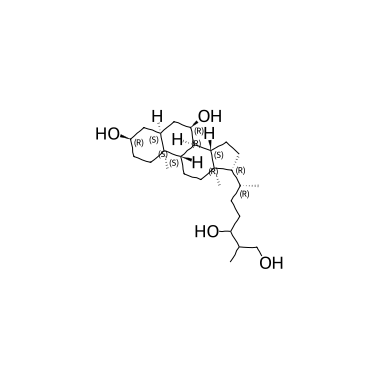 CC(CO)C(O)CC[C@@H](C)[C@H]1CC[C@H]2[C@@H]3[C@H](O)C[C@@H]4C[C@H](O)CC[C@]4(C)[C@H]3CC[C@]12C